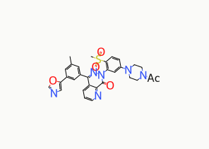 CC(=O)N1CCN(c2ccc(S(C)(=O)=O)c(-n3nc(-c4cc(C)cc(-c5cnco5)c4)c4cccnc4c3=O)c2)CC1